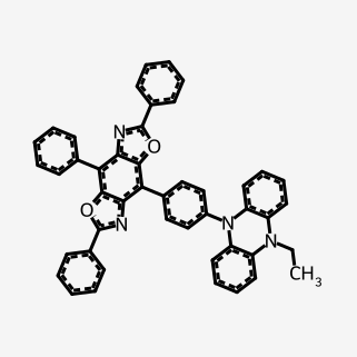 CCN1c2ccccc2N(c2ccc(-c3c4nc(-c5ccccc5)oc4c(-c4ccccc4)c4nc(-c5ccccc5)oc34)cc2)c2ccccc21